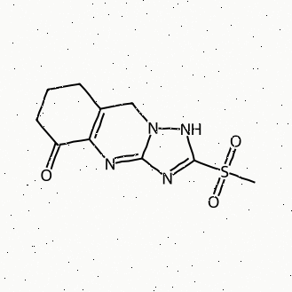 CS(=O)(=O)C1=NC2=NC3=C(CCCC3=O)CN2N1